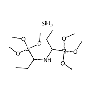 CCC(NC(CC)[Si](OC)(OC)OC)[Si](OC)(OC)OC.[SiH4]